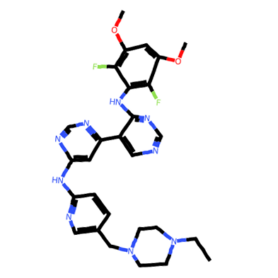 CCN1CCN(Cc2ccc(Nc3cc(-c4cncnc4Nc4c(F)c(OC)cc(OC)c4F)ncn3)nc2)CC1